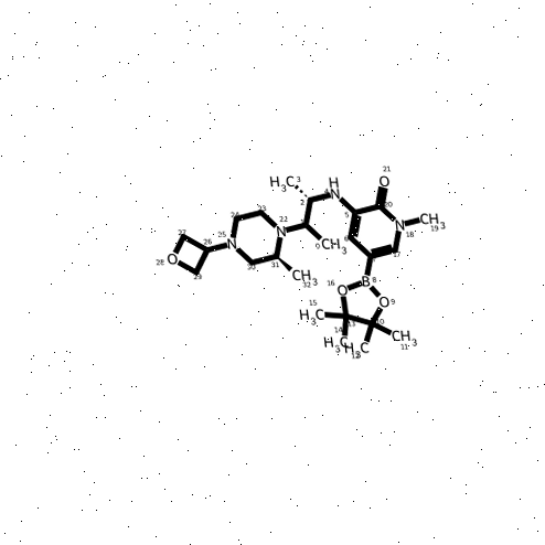 CC([C@H](C)Nc1cc(B2OC(C)(C)C(C)(C)O2)cn(C)c1=O)N1CCN(C2COC2)C[C@@H]1C